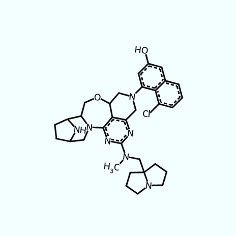 CN(CC12CCCN1CCC2)c1nc2c3c(n1)N1CC4CCC(N4)C1COC3CN(c1cc(O)cc3cccc(Cl)c13)C2